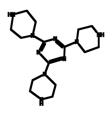 C1CN(c2nc(N3CCNCC3)nc(N3CCNCC3)n2)CCN1